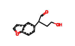 O=CC(CCO)c1ccc2occc2c1